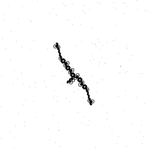 C=CC(=O)CC(=O)c1cc(OC(=O)c2ccc(OC(=O)c3ccc(OCCCCCCOC(=O)C=C)cc3)cc2)ccc1OC(=O)c1ccc(OC(=O)c2ccc(OCCCCCCOC(=O)C=C)cc2)cc1